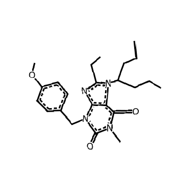 CCCC(CCC)n1c(CC)nc2c1c(=O)n(C)c(=O)n2Cc1ccc(OC)cc1